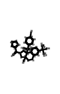 O=C(c1cncs1)N1C[C@H]2CCc3cc(C(F)(C(F)(F)F)C(F)(F)F)ccc3C2(S(=O)(=O)c2ccc(F)cc2)C1